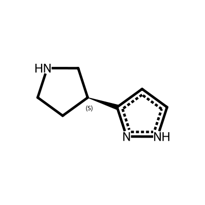 c1cc([C@H]2CCNC2)n[nH]1